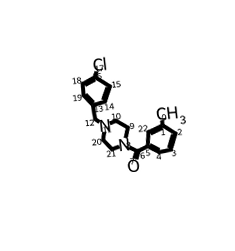 Cc1cccc(C(=O)N2CCN(Cc3ccc(Cl)cc3)CC2)c1